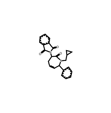 O=C1C(N2C(=O)c3ccccc3C2=O)CC=CC(c2ccccc2)N1CC1CC1